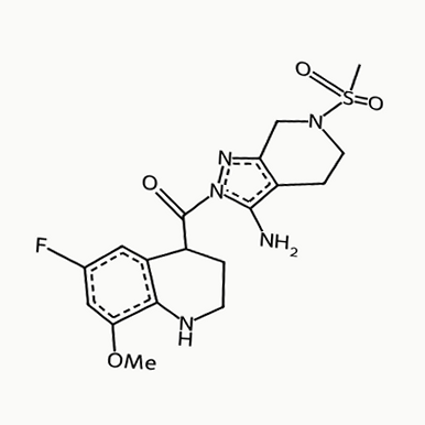 COc1cc(F)cc2c1NCCC2C(=O)n1nc2c(c1N)CCN(S(C)(=O)=O)C2